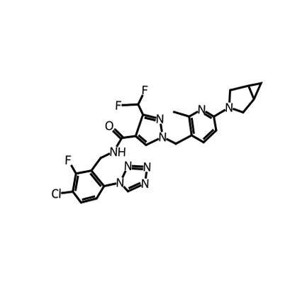 Cc1nc(N2CC3CC3C2)ccc1Cn1cc(C(=O)NCc2c(-n3cnnn3)ccc(Cl)c2F)c(C(F)F)n1